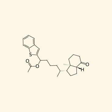 CC(=O)OC(CCCC(C)[C@H]1CC[C@H]2C(=O)CCC[C@]12C)c1cc2ccccc2s1